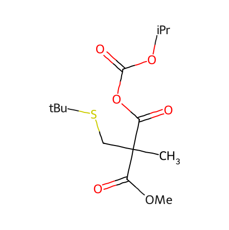 COC(=O)C(C)(CSC(C)(C)C)C(=O)OC(=O)OC(C)C